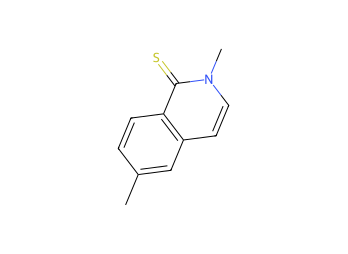 Cc1ccc2c(=S)n(C)ccc2c1